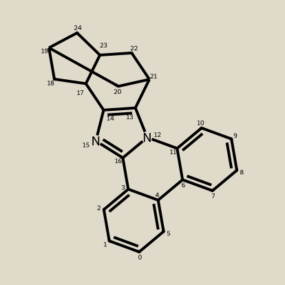 c1ccc2c(c1)c1ccccc1n1c3c(nc21)C1CC2CC3CC1C2